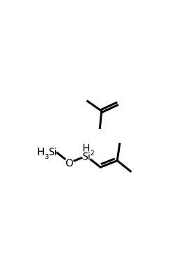 C=C(C)C.CC(C)=C[SiH2]O[SiH3]